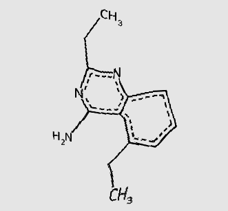 CCc1nc(N)c2c(CC)cccc2n1